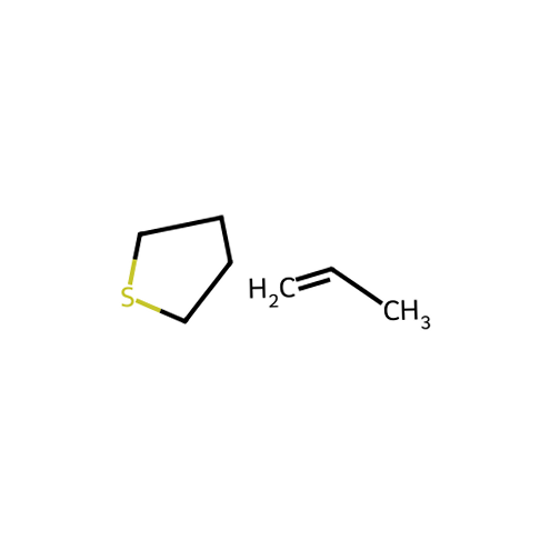 C1CCSC1.C=CC